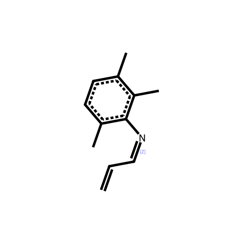 C=C/C=N\c1c(C)ccc(C)c1C